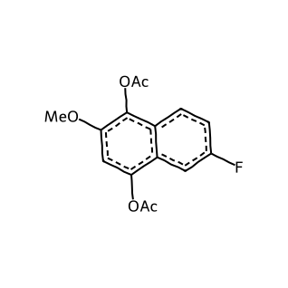 COc1cc(OC(C)=O)c2cc(F)ccc2c1OC(C)=O